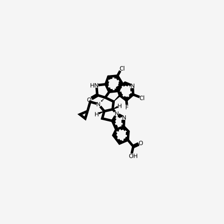 O=C(O)c1ccc2c3n(nc2c1)[C@@H]1[C@H](C3)N(CC2CC2)[C@@]2(C(=O)Nc3cc(Cl)ccc32)[C@H]1c1ccnc(Cl)c1F